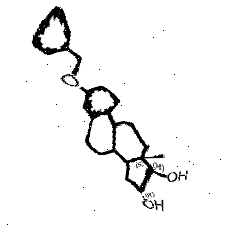 C[C@]12CCC3c4ccc(OCc5ccccc5)cc4CCC3C1C[C@@H](O)[C@@H]2O